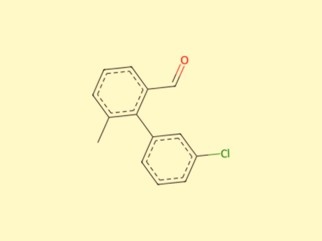 Cc1cccc(C=O)c1-c1cccc(Cl)c1